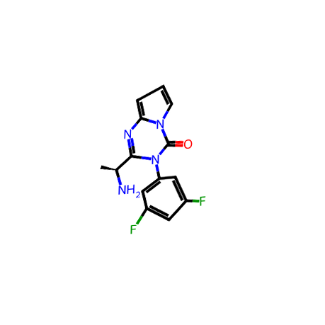 C[C@H](N)c1nc2cccn2c(=O)n1-c1cc(F)cc(F)c1